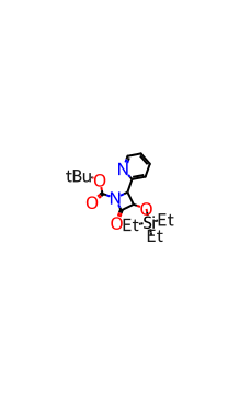 CC[Si](CC)(CC)OC1C(=O)N(C(=O)OC(C)(C)C)C1c1ccccn1